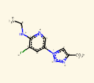 O=C(O)c1cn(-c2cnc(NCC(F)(F)F)c(F)c2)nn1